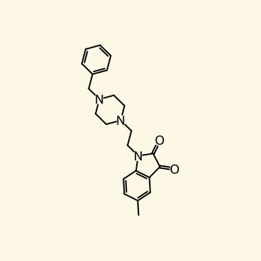 Cc1ccc2c(c1)C(=O)C(=O)N2CCN1CCN(Cc2ccccc2)CC1